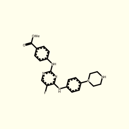 COC(=O)c1ccc(Nc2ncc(F)c(Nc3ccc(N4CCNCC4)cc3)n2)cc1